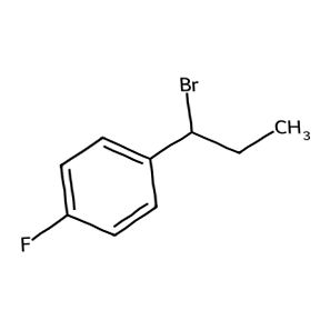 CCC(Br)c1ccc(F)cc1